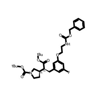 CC(C)(C)OC(=O)[C@@H](Cc1cc(F)cc(OCCNC(=O)OCc2ccccc2)c1)[C@H]1CCN(C(=O)OC(C)(C)C)C1